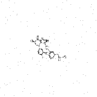 O=C1CC(c2ccc(F)c(Cl)c2)c2c(n[nH]c2C2CC(c3cccc(CNC4CC4)c3)C2)N1